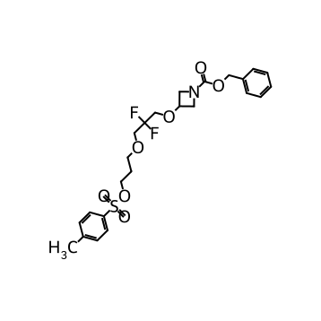 Cc1ccc(S(=O)(=O)OCCCOCC(F)(F)COC2CN(C(=O)OCc3ccccc3)C2)cc1